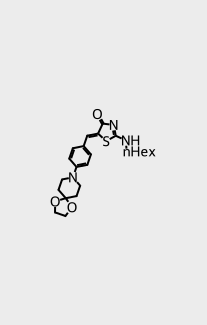 CCCCCCNC1=NC(=O)C(=Cc2ccc(N3CCC4(CC3)OCCO4)cc2)S1